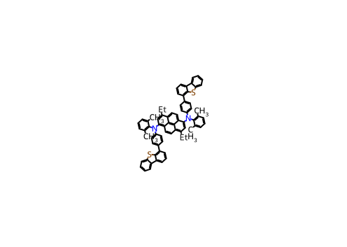 CCc1cc(N(c2ccc(-c3cccc4c3sc3ccccc34)cc2)c2c(C)cccc2C)c2ccc3c(CC)cc(N(c4ccc(-c5cccc6c5sc5ccccc56)cc4)c4c(C)cccc4C)c4ccc1c2c34